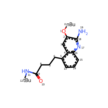 CCCCOc1cc2c(CCCC(=O)NC(C)(C)C)cccc2nc1N